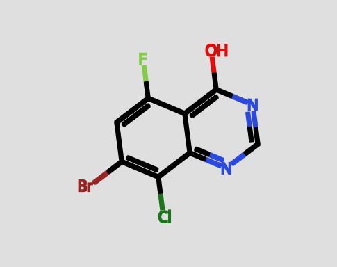 Oc1ncnc2c(Cl)c(Br)cc(F)c12